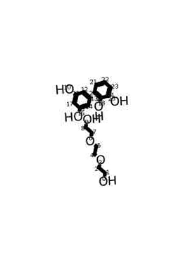 OCCOCCOCCO.Oc1cccc(O)c1.Oc1ccccc1O